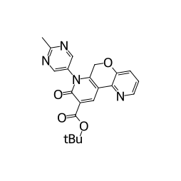 Cc1ncc(-n2c3c(cc(C(=O)OC(C)(C)C)c2=O)-c2ncccc2OC3)cn1